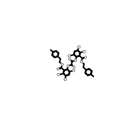 Cc1ccc(CCOC(=O)c2c(Cl)c(Cl)cc(Cl)c2OC(=O)C(=O)Oc2c(Cl)cc(Cl)c(Cl)c2C(=O)OCCc2ccc(C)cc2)cc1